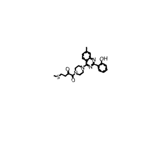 CSCCC(=O)C(=O)N1CCN(c2nc(-c3ccccc3O)nc3cc(C)ccc23)CC1